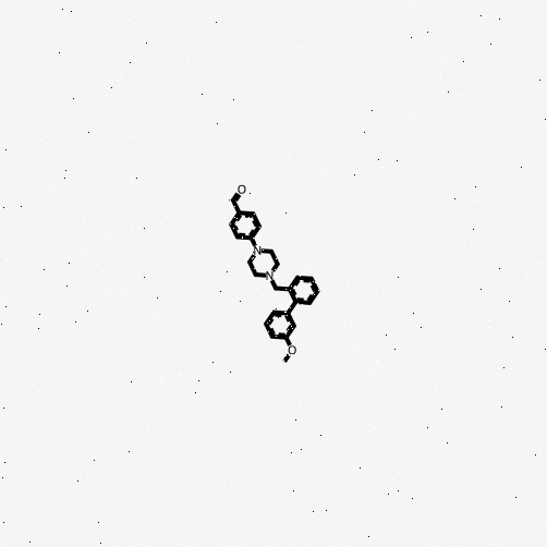 COc1cccc(-c2ccccc2CN2CCN(c3ccc([C]=O)cc3)CC2)c1